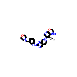 Cc1c(N2CCc3cnc(Nc4cccc(CN5CCOCC5)c4)nc3C2)cnc2c1NCCO2